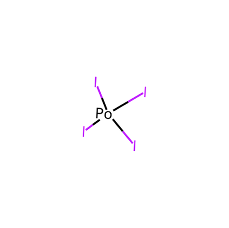 [I][Po]([I])([I])[I]